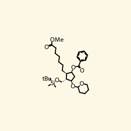 COC(=O)CCCCCC[C@@H]1[C@@H](CO[Si](C)(C)C(C)(C)C)[C@H](OC2CCCCO2)C[C@@H]1OC(=O)c1ccccc1